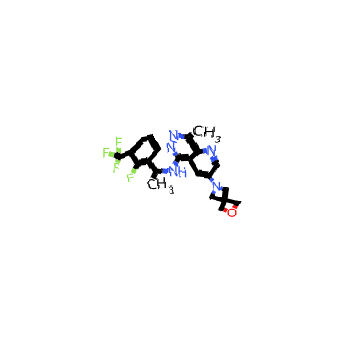 Cc1nnc(NC(C)c2cccc(C(F)(F)F)c2F)c2cc(N3CC4(COC4)C3)cnc12